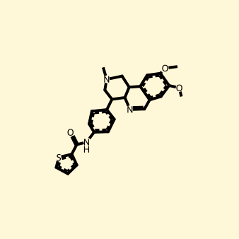 COc1cc2c(cc1OC)C1CN(C)CC(c3ccc(NC(=O)c4cccs4)cc3)C1N=C2